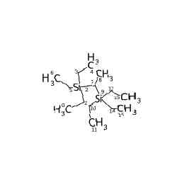 CC[Si](CC)(CC)C(C)[Si](CC)(CC)CC